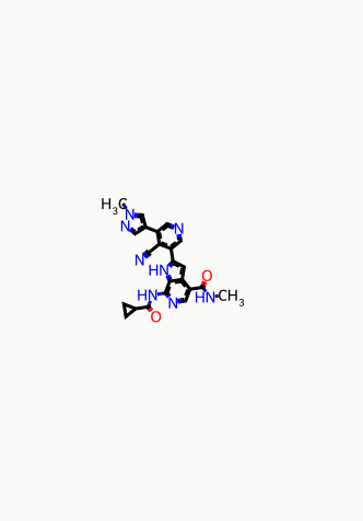 CNC(=O)c1cnc(NC(=O)C2CC2)c2[nH]c(-c3cncc(-c4cnn(C)c4)c3C#N)cc12